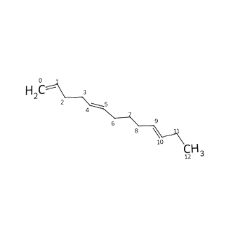 C=CCCC=CCCCC=CCC